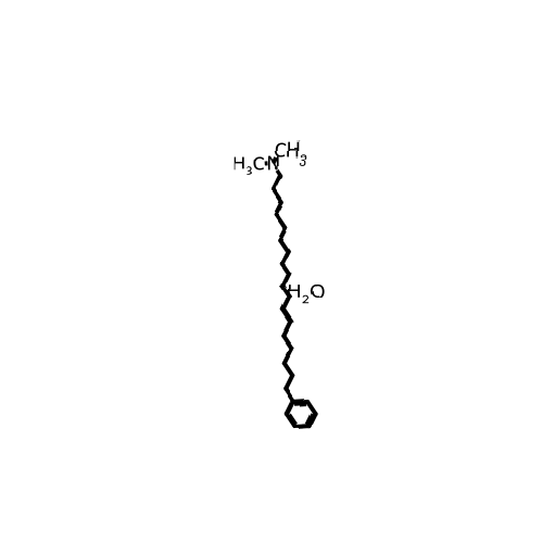 CN(C)CCCCCCCCCCCCCCCCCCc1ccccc1.O